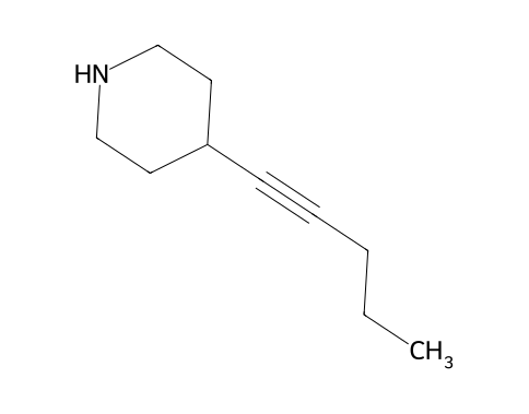 CCCC#CC1CCNCC1